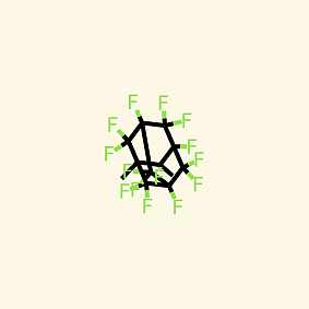 CC1(F)C2(C)C(F)(F)C3(F)C(F)(F)C1(F)C(F)(F)C(F)(C2(F)F)C3(F)F